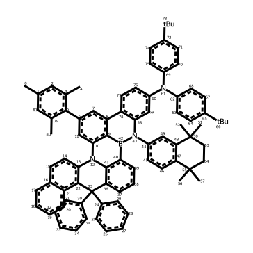 Cc1cc(C)c(-c2cc3c4c(c2)N2c5ccc6ccccc6c5C(c5ccccc5)(c5ccccc5)c5cccc(c52)B4N(c2ccc4c(c2)C(C)(C)CCC4(C)C)c2cc(N(c4ccc(C(C)(C)C)cc4)c4ccc(C(C)(C)C)cc4)ccc2-3)c(C)c1